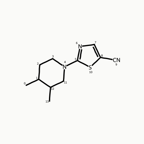 CC1CCN(c2ncc(C#N)s2)CC1C